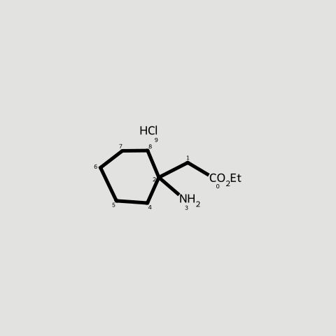 CCOC(=O)CC1(N)CCCCC1.Cl